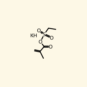 C=C(C)C(=O)OS(=O)(=O)CC.[KH]